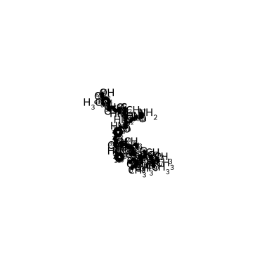 CC[C@H](C)[C@@H]([C@@H](CC(=O)N1CCC[C@H]1[C@H](OC)[C@@H](C)C(=O)N[C@@H](Cc1ccccc1)C(=O)NCc1ccc(NC(=O)[C@H](CCCNC(N)=O)NC(=O)[C@@H](NC(=O)CCC(=O)N2CCC(C(=O)O)C(C)C2)C(C)C)cc1)OC)N(C)C(=O)[C@@H](NC(=O)[C@H](C(C)C)N(C)C)C(C)C